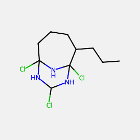 CCCC1CCCC2(Cl)NC(Cl)NC1(Cl)N2